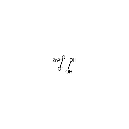 OO.[O-][O-].[Zn+2]